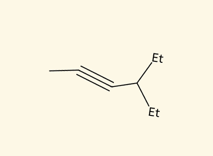 CC#CC(CC)CC